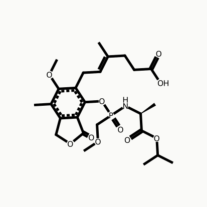 COCP(=O)(N[C@@H](C)C(=O)OC(C)C)Oc1c(C/C=C(\C)CCC(=O)O)c(OC)c(C)c2c1C(=O)OC2